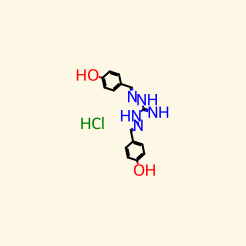 Cl.N=C(NN=Cc1ccc(O)cc1)NN=Cc1ccc(O)cc1